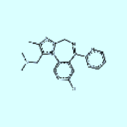 Cc1nc2n(c1CN(C)C)-c1ccc(Cl)cc1C(c1ccccn1)=NC2